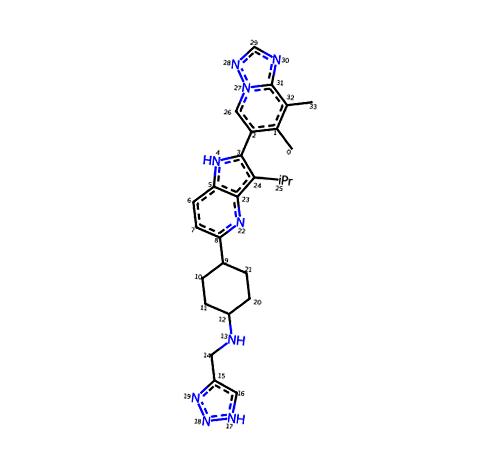 Cc1c(-c2[nH]c3ccc(C4CCC(NCc5c[nH]nn5)CC4)nc3c2C(C)C)cn2ncnc2c1C